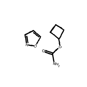 NC(=O)OC1CCC1.c1cnoc1